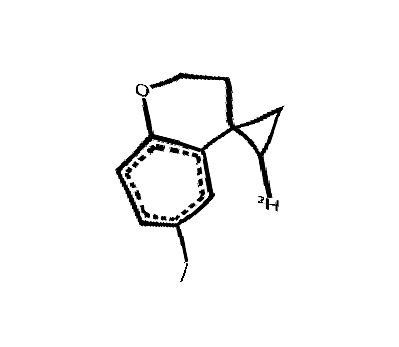 [2H]C1CC12CCOc1ccc(I)cc12